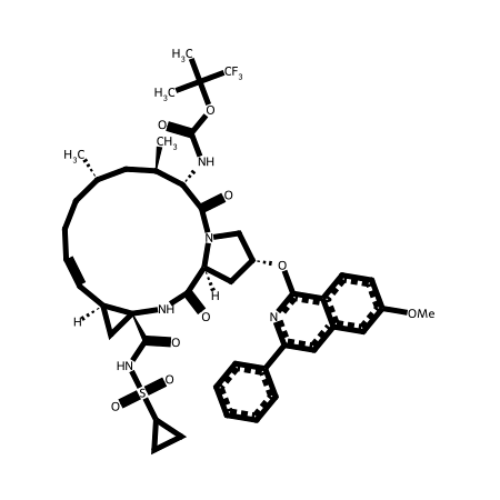 COc1ccc2c(O[C@@H]3C[C@H]4C(=O)N[C@]5(C(=O)NS(=O)(=O)C6CC6)C[C@H]5/C=C\CC[C@H](C)C[C@@H](C)[C@H](NC(=O)OC(C)(C)C(F)(F)F)C(=O)N4C3)nc(-c3ccccc3)cc2c1